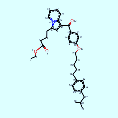 CCOC(=O)CCCc1cc(C(=O)c2ccc(OCCCCCc3ccc(CC(C)C)cc3)cc2)c2ccccn12